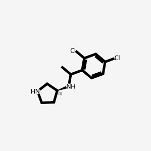 CC(N[C@H]1CCNC1)c1ccc(Cl)cc1Cl